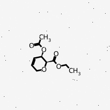 CCOC(=O)[C@H]1OCC=C[C@H]1OC(C)=O